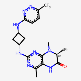 Cc1nc(N[C@H]2C[C@H](Nc3ccc(C(F)(F)F)nn3)C2)nc2c1NC(=O)[C@H](C(C)C)N2C